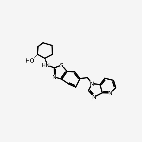 O[C@@H]1CCCC[C@H]1Nc1nc2ccc(Cn3cnc4ncccc43)cc2s1